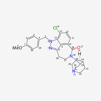 COc1ccc(Cn2nc3c4c(ccc(Cl)c42)C(=O)N([C@@H]2CN4CCC2CC4)CC3)cc1